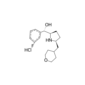 Cl.O[C@@H](c1cccc(F)c1)[C@H]1CC[C@@H](CC2CCOCC2)N1